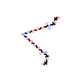 CN(CCOCCOCCOCCOCCC(=O)NCCC(C)(C)OCCC(C)(C)C=O)CCOCCOCCOCCOCCC(=O)NCCC(C)(C)OCC(C)(C)C=O